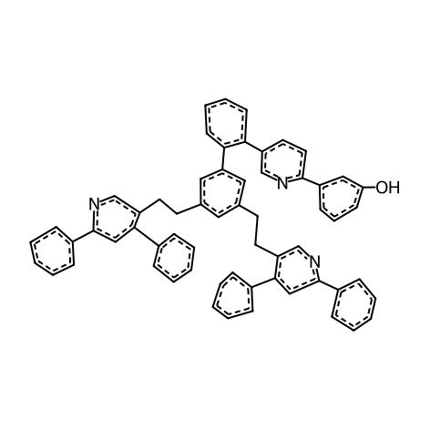 Oc1cccc(-c2ccc(-c3ccccc3-c3cc(CCc4cnc(-c5ccccc5)cc4-c4ccccc4)cc(CCc4cnc(-c5ccccc5)cc4-c4ccccc4)c3)cn2)c1